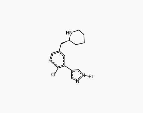 CCn1cc(-c2cc(C[C@@H]3CCCCN3)ccc2Cl)cn1